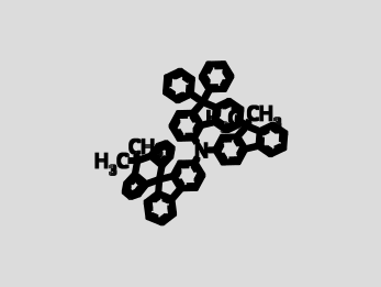 CC1(C)c2ccccc2-c2ccc(N(c3ccc4c(c3)C3(c5ccccc5-4)c4ccccc4C(C)(C)c4ccccc43)c3cccc4c3-c3ccccc3C4(c3ccccc3)c3ccccc3)cc21